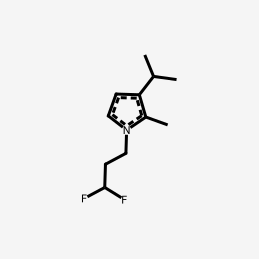 Cc1c(C(C)C)ccn1CCC(F)F